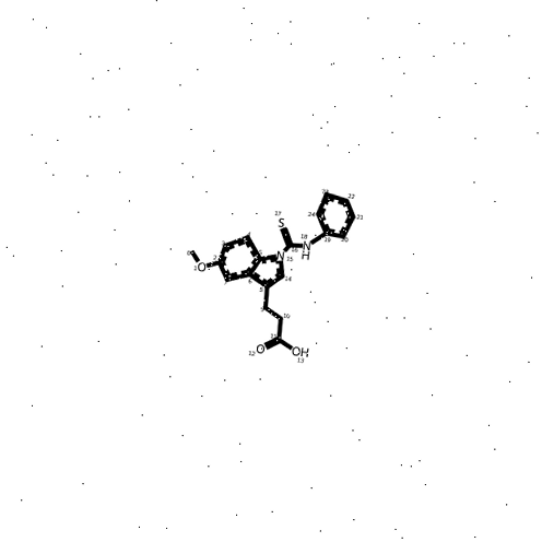 COc1ccc2c(c1)c(CCC(=O)O)cn2C(=S)Nc1ccccc1